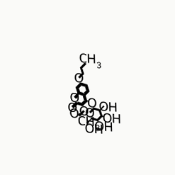 CCCCOc1ccc2c(O[C@H]3O[C@H](CO)[C@@H](O)[C@H](O)[C@@H]3O)c(OC(C)=O)c(=O)oc2c1